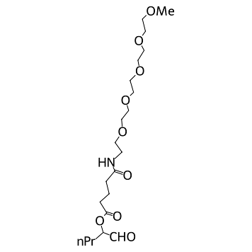 CCCC(C=O)OC(=O)CCCC(=O)NCCOCCOCCOCCOCCOC